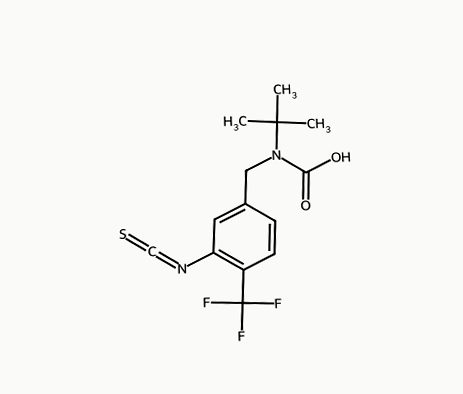 CC(C)(C)N(Cc1ccc(C(F)(F)F)c(N=C=S)c1)C(=O)O